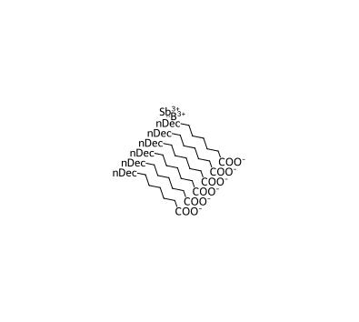 CCCCCCCCCCCCCCCC(=O)[O-].CCCCCCCCCCCCCCCC(=O)[O-].CCCCCCCCCCCCCCCC(=O)[O-].CCCCCCCCCCCCCCCC(=O)[O-].CCCCCCCCCCCCCCCC(=O)[O-].CCCCCCCCCCCCCCCC(=O)[O-].[B+3].[Sb+3]